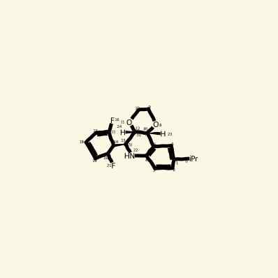 CC(C)c1ccc2c(c1)[C@H]1OCCO[C@H]1[C@H](C1C(F)=CC=CC1F)N2